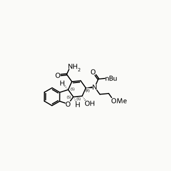 CCCCC(=O)N(CCOC)[C@@H]1C=C(C(N)=O)[C@@H]2c3ccccc3O[C@@H]2[C@H]1O